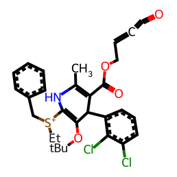 CC[S+](Cc1ccccc1)C1=C(OC(C)(C)C)C(c2cccc(Cl)c2Cl)C(C(=O)OCC=C=C=O)=C(C)N1